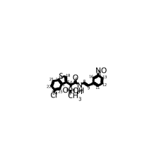 CP(=O)(O)C(C(=O)N/C=C/c1cccc(N=O)c1)c1csc2ccc(Cl)cc12